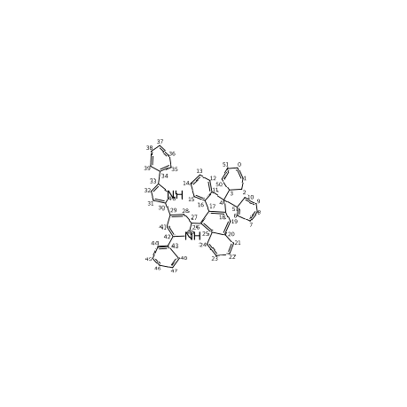 C1=CCC(C2(c3ccccc3)c3ccccc3-c3c2cc2ccccc2c3C2C=C(c3ccc(-c4ccccc4)[nH]3)C=C(c3ccccc3)N2)C=C1